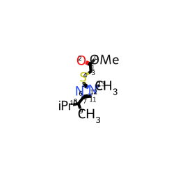 COC(=O)CSc1nc(C(C)C(C)C)cn1C